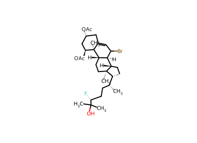 CC(=O)O[C@@H]1CC2=CC(Br)[C@H]3[C@@H]4CC[C@H]([C@H](C)CC[C@@H](F)C(C)(C)O)[C@@]4(C)CC[C@@H]3[C@@]2(C)[C@@H](OC(C)=O)C1